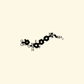 Cc1ccc(Oc2nc3c(F)c(-c4ccc(-c5ccc(-c6ncn(CCN)n6)cc5)cc4)c(F)cc3[nH]2)cc1C(=O)O